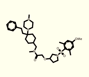 COc1cc(C)c(S(=O)(=O)N2CCC(OCC(=O)N(C)CC3CCC(CCc4ccccc4)(N4CCN(C)CC4)CC3)C2)c(C)c1